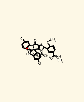 CNC(=O)c1ccc(OC)c(-c2nc3c(n2C(C)C)[C@]2(C(=O)Nc4cc(Cl)ccc42)N(c2cc(Cl)ccc2C)C3=O)c1